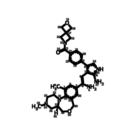 Cc1cc(/C(N)=C/c2c(-c3ccc(C(=O)N4CC5(COC5)C4)cc3)c[nH]c2N)cc2c1N1CCN(C)C[C@H]1COC2